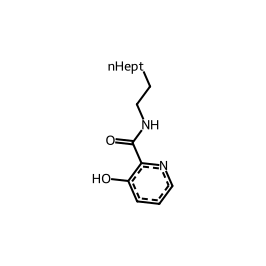 CCCCCCCCCNC(=O)c1ncccc1O